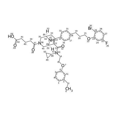 CCc1cccc(OCCN(C(=O)C2=C(c3ccc(CCCOc4cc(F)ccc4Br)cc3)C[C@@H]3CN(C(=O)CCCC(=O)O)C[C@H]2N3)C2CC2)c1